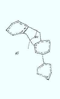 CC12NC(Cc3ccc(-c4ccccc4)cc31)c1ccccc12.Cl